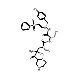 CC(C)C[C@H](NC(=O)[C@@H](N)CC(C)(C)C(=O)C1CNCCO1)C(=O)N[C@H](C=CS(=O)(=O)c1ccccc1)Cc1ccc(O)cc1